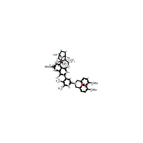 COc1ccc(CN(Cc2ccc(OC)cc2)c2cc(-c3nc4c5c(nc(SC)nc5c3F)N3C[C@H]5CC[C@@H]([C@H]3[C@H](C(F)(F)F)O4)N5C(=O)OC(C)(C)C)c(C(F)(F)F)c(C)n2)cc1